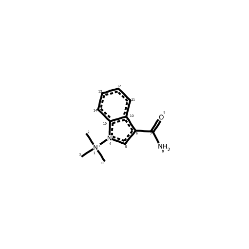 C[N+](C)(C)n1cc(C(N)=O)c2ccccc21